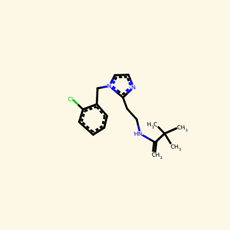 C=C(NCCc1nccn1Cc1ccccc1Cl)C(C)(C)C